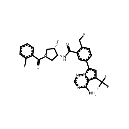 Nc1ncnn2c(-c3ccc(CF)c(C(=O)N[C@@H]4CN(C(=O)c5ccccc5F)C[C@@H]4F)c3)cc(C(F)(F)F)c12